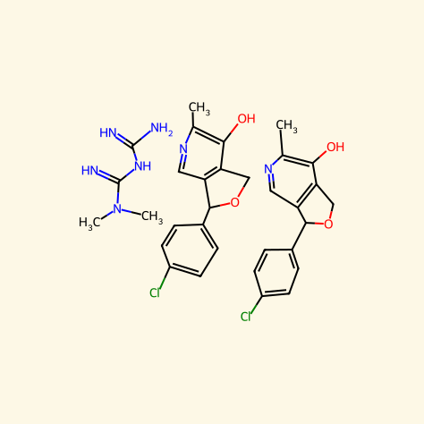 CN(C)C(=N)NC(=N)N.Cc1ncc2c(c1O)COC2c1ccc(Cl)cc1.Cc1ncc2c(c1O)COC2c1ccc(Cl)cc1